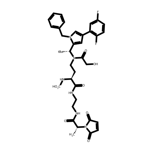 C[C@H](C(=O)NCCNC(=O)[C@H](CCN(C(=O)CO)[C@@H](c1cc(-c2cc(F)ccc2F)cn1Cc1ccccc1)C(C)(C)C)NC(=O)O)N1C(=O)C=CC1=O